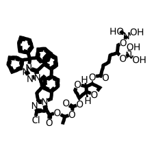 CCCCc1nc(Cl)c(C(=O)OC(C)OC(=O)O[C@@H]2CO[C@H]3[C@@H]2OC[C@H]3OC(=O)CCCC(CON(O)O)ON(O)O)n1Cc1ccc(-c2ccccc2-c2nnnn2C(c2ccccc2)(c2ccccc2)c2ccccc2)cc1